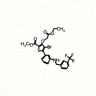 CCOC(=O)COc1c(C(=O)OC)sc(-c2cccc(NCc3cccc(C(F)(F)F)c3)c2)c1Br